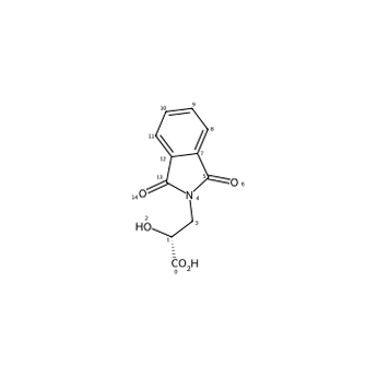 O=C(O)[C@H](O)CN1C(=O)c2ccccc2C1=O